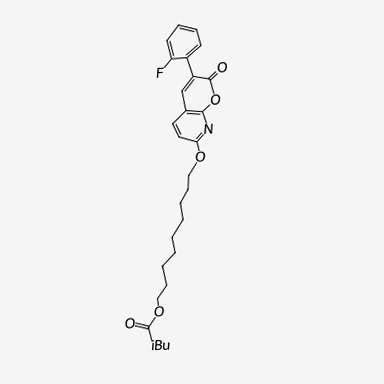 CCC(C)C(=O)OCCCCCCCCCOc1ccc2cc(-c3ccccc3F)c(=O)oc2n1